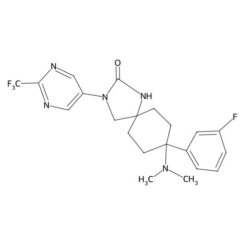 CN(C)C1(c2cccc(F)c2)CCC2(CC1)CN(c1cnc(C(F)(F)F)nc1)C(=O)N2